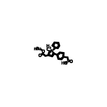 CCCCOC(=O)Cc1cc(-c2ccc(CS(=O)O)cc2)n(-c2ccccc2)c1C